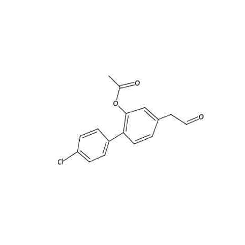 CC(=O)Oc1cc(CC=O)ccc1-c1ccc(Cl)cc1